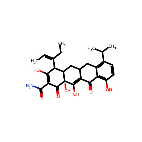 C/C=C(/CC)C1C(O)=C(C(N)=O)C(=O)[C@@]2(O)C(O)=C3C(=O)c4c(O)ccc(C(C)C)c4CC3CC12